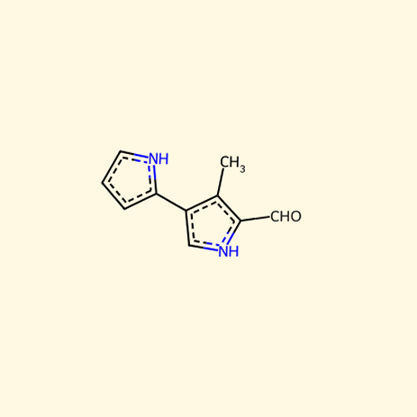 Cc1c(-c2ccc[nH]2)c[nH]c1C=O